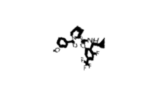 COc1cccc(C(=O)N2CCC[C@@H]2C(=O)N[C@H](C2=CC2)c2ccc(C(F)(F)F)cc2F)c1